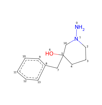 NN1CCCC(O)(Cc2ccccc2)C1